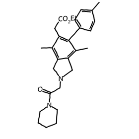 CCOC(=O)Cc1c(C)c2c(c(C)c1-c1ccc(C)cc1)CN(CC(=O)N1CCCCC1)C2